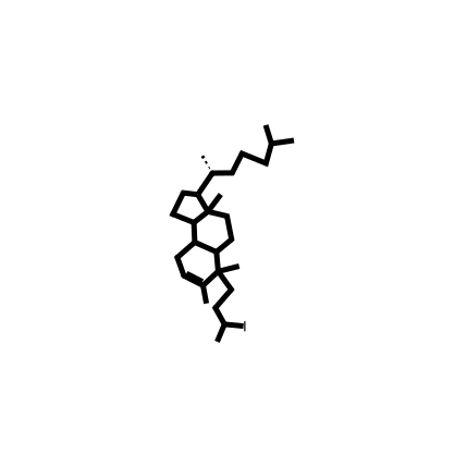 CC1=CCC2C(CCC3(C)C2CCC3[C@H](C)CCCC(C)C)C1(C)CCC(C)I